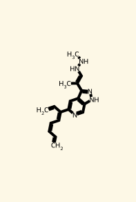 C=C/C=C\C=C(/C=C)c1cc2c(/C(C)=C/NNC)n[nH]c2cn1